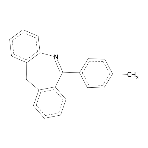 Cc1ccc(C2=Nc3ccccc3Cc3ccccc32)cc1